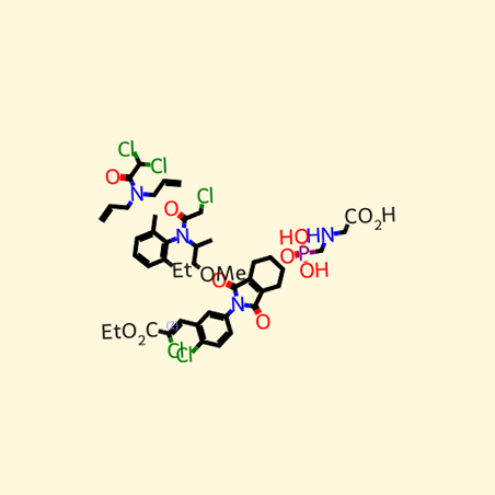 C=CCN(CC=C)C(=O)C(Cl)Cl.CCOC(=O)/C(Cl)=C/c1cc(N2C(=O)C3=C(CCCC3)C2=O)ccc1Cl.CCc1cccc(C)c1N(C(=O)CCl)C(C)COC.O=C(O)CNCP(=O)(O)O